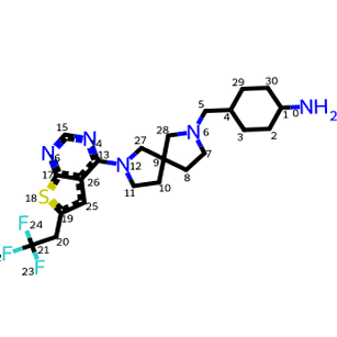 NC1CCC(CN2CCC3(CCN(c4ncnc5sc(CC(F)(F)F)cc45)C3)C2)CC1